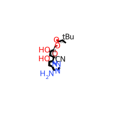 C[C@H](C(=O)OC[C@H]1O[C@@](C#N)(c2ccc3c(N)ncnn23)[C@H](O)[C@@H]1O)C(C)(C)C